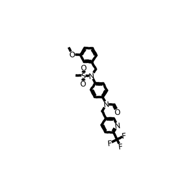 COc1cccc(CN(c2ccc(N(C=O)Cc3ccc(C(F)(F)F)nc3)cc2)S(C)(=O)=O)c1